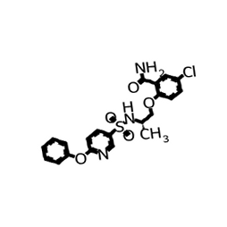 C[C@@H](COc1ccc(Cl)cc1C(N)=O)NS(=O)(=O)c1ccc(Oc2ccccc2)nc1